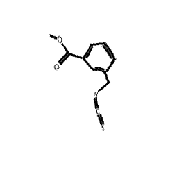 COC(=O)c1cccc(CN=C=S)c1